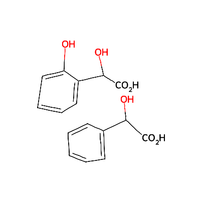 O=C(O)C(O)c1ccccc1.O=C(O)C(O)c1ccccc1O